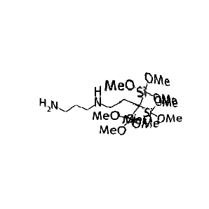 CO[Si](OC)(OC)C(CCNCCCN)([Si](OC)(OC)OC)[Si](OC)(OC)OC